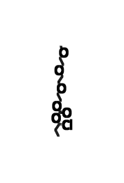 CCC(Cl)OC(=O)OCCOCCOCCOC